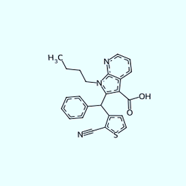 CCCCn1c(C(c2ccccc2)c2ccsc2C#N)c(C(=O)O)c2cccnc21